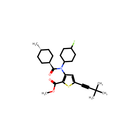 COC(=O)c1sc(C#CC(C)(C)C)cc1N(C(=O)[C@H]1CC[C@H](C)CC1)C1CCC(F)CC1